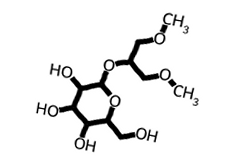 COCC(COC)OC1OC(CO)C(O)C(O)C1O